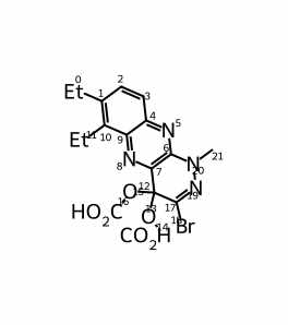 CCc1ccc2nc3c(nc2c1CC)C(OC(=O)O)(OC(=O)O)C(Br)=NN3C